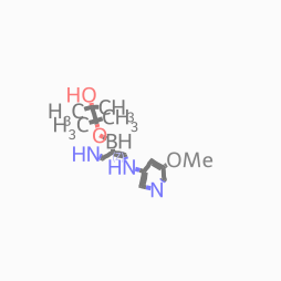 COc1cncc(N/C=C(/BOC(C)(C)C(C)(C)O)C=N)c1